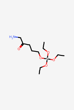 CCO[Si](OCC)(OCC)OCCCC(=O)CN